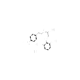 Cc1cccc(C)c1OCC(C)N(C)CCc1ccc([N+](=O)[O-])cc1.Cl